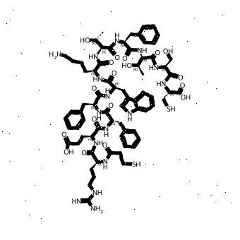 C[C@@H](O)[C@H](NC(=O)[C@H](Cc1ccccc1)NC(=O)[C@@H](NC(=O)[C@H](CCCCN)NC(=O)[C@@H](Cc1c[nH]c2ccccc12)NC(=O)[C@H](Cc1ccccc1)NC(=O)[C@H](Cc1ccccc1)NC(=O)[C@H](CCC(=O)O)NC(=O)[C@H](CCCNC(=N)N)NC(=O)CCS)[C@@H](C)O)C(=O)N[C@@H](CO)C(=O)N[C@@H](CS)C(=O)O